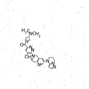 Cc1cc(C(=O)N2CC(N(C)C)C2)nnc1N1CCc2ncc(N3CCCn4nccc43)cc2C1